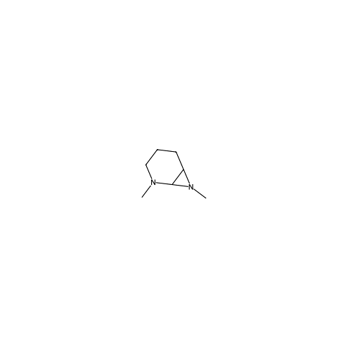 CN1CCCC2C1N2C